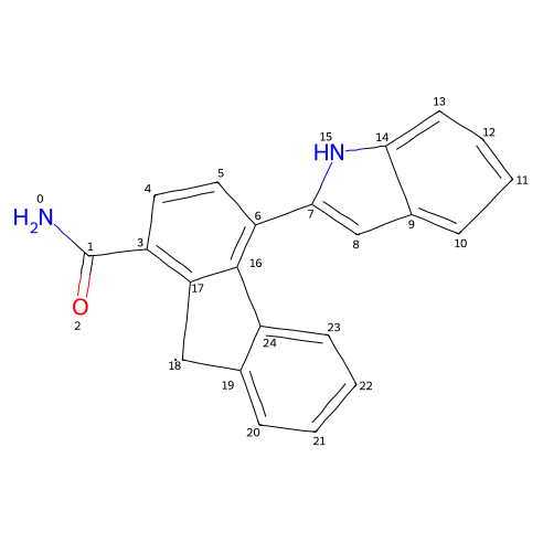 NC(=O)c1ccc(-c2cc3ccccc3[nH]2)c2c1[CH]c1ccccc1-2